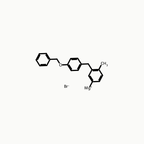 Cc1cc[c]([Mg+])cc1Cc1ccc(OCc2ccccc2)cc1.[Br-]